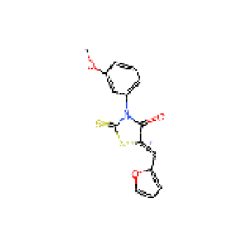 COc1cccc(N2C(=O)/C(=C/c3ccco3)SC2=S)c1